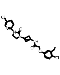 O=C(COc1ccc(Cl)c(F)c1)NC12CC(N3CCN(c4ccc(Cl)cn4)C3=O)(C1)C2